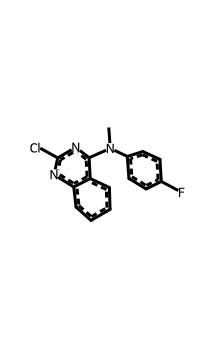 CN(c1ccc(F)cc1)c1nc(Cl)nc2ccccc12